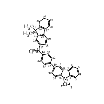 Cn1c2ccccc2c2cc(-c3ccc(N(Cl)c4ccc5c(c4)C(C)(C)C4=C5C=CCC4)cc3)ccc21